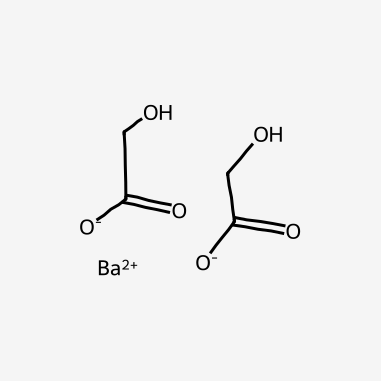 O=C([O-])CO.O=C([O-])CO.[Ba+2]